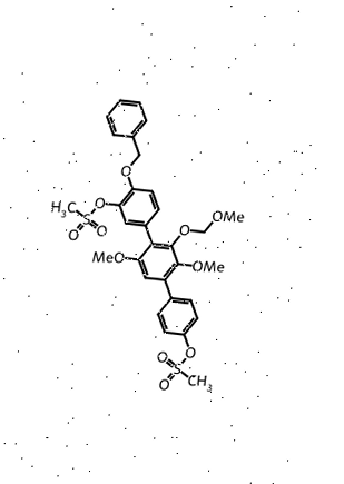 COCOc1c(OC)c(-c2ccc(OS(C)(=O)=O)cc2)cc(OC)c1-c1ccc(OCc2ccccc2)c(OS(C)(=O)=O)c1